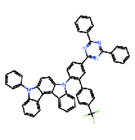 FC(F)(F)c1ccc(-c2cc(-c3nc(-c4ccccc4)nc(-c4ccccc4)n3)ccc2-n2c3ccccc3c3c4c5ccccc5n(-c5ccccc5)c4ccc32)cc1